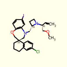 C=C[C@H](COC)N1CC[C@H]1CN1C[C@@]2(CCCc3cc(Cl)ccc32)COc2ccc(I)cc21